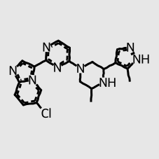 Cc1[nH]ncc1C1CN(c2ccnc(-c3cnc4ccc(Cl)cn34)n2)CC(C)N1